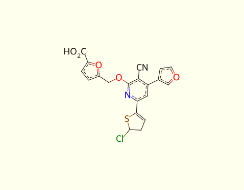 N#Cc1c(-c2ccoc2)cc(C2=CCC(Cl)S2)nc1OCc1ccc(C(=O)O)o1